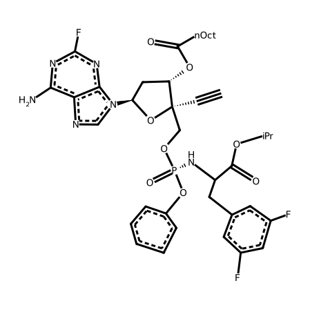 C#C[C@]1(CO[P@@](=O)(NC(Cc2cc(F)cc(F)c2)C(=O)OC(C)C)Oc2ccccc2)O[C@@H](n2cnc3c(N)nc(F)nc32)C[C@@H]1OC(=O)CCCCCCCC